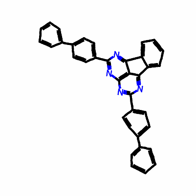 c1ccc(-c2ccc(-c3nc4c5c(nc(-c6ccc(-c7ccccc7)cc6)nc5n3)-c3ccccc3-4)cc2)cc1